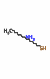 CCCCCCCCCCCCCCCCS.N